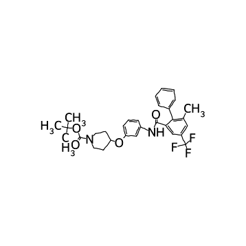 Cc1cc(C(F)(F)F)cc(C(=O)Nc2cccc(OC3CCN(C(=O)OC(C)(C)C)CC3)c2)c1-c1ccccc1